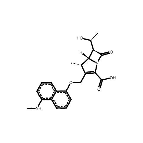 CNc1cccc2c(OCC3=C(C(=O)O)N4C(=O)[C@H]([C@@H](C)O)[C@H]4[C@H]3C)cccc12